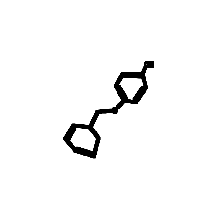 Oc1ccc(OCC2C=CC=CC2)cc1